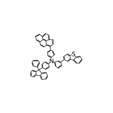 c1ccc(C2(c3ccc(N(c4ccc(-c5ccc6ccc7cccc8ccc5c6c78)cc4)c4cccc(-c5ccc6sc7ccccc7c6c5)c4)cc3)c3ccccc3-c3ccccc32)cc1